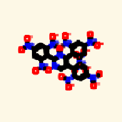 O=[N+]([O-])c1cc([N+](=O)[O-])c(-c2ncc(-c3c([N+](=O)[O-])cc([N+](=O)[O-])cc3[N+](=O)[O-])c(-c3c([N+](=O)[O-])cc([N+](=O)[O-])cc3[N+](=O)[O-])n2)c([N+](=O)[O-])c1